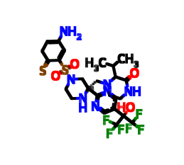 CC(C)C1C(=O)NCCN1C[C@@]1(c2ncc(C(O)(C(F)(F)F)C(F)(F)F)cn2)CN(S(=O)(=O)C2=CC(N)=CCC2=S)CCN1